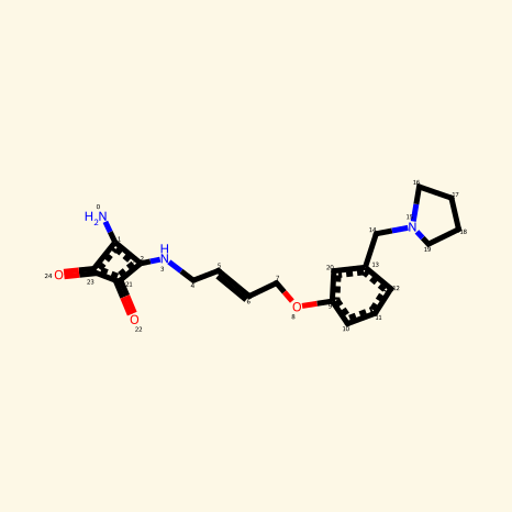 Nc1c(NCC=CCOc2cccc(CN3CCCC3)c2)c(=O)c1=O